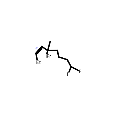 CC/C=C\C(C)(CCCC(F)F)C(C)C